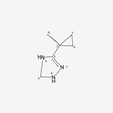 CC1(C2=NNCN2)CC1